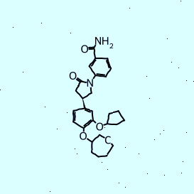 NC(=O)c1cccc(N2C[C@@H](c3ccc(OC4CCCCCC4)c(OC4CCCC4)c3)CC2=O)c1